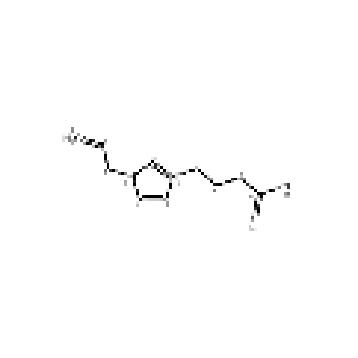 C=CCn1cc[n+](CCCC(=O)O)c1